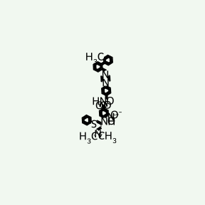 Cc1ccccc1-c1ccccc1CN1CCN(c2ccc(C(=O)NS(=O)(=O)c3ccc(N[C@H](CCN(C)C)CSc4ccccc4)c([N+](=O)[O-])c3)cc2)CC1